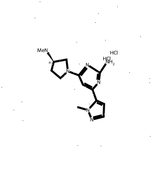 CN[C@@H]1CCN(c2cc(-c3ccnn3C)nc(N)n2)C1.Cl.Cl